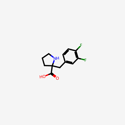 O=C(O)C1(Cc2ccc(F)c(F)c2)CCCN1